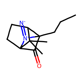 CCCC12C(=O)C3(CCC1C3(C)C)[N+]2=[N-]